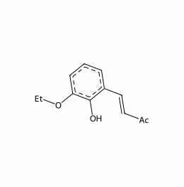 CCOc1cccc(C=CC(C)=O)c1O